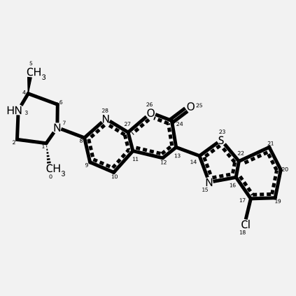 C[C@@H]1CN[C@@H](C)CN1c1ccc2cc(-c3nc4c(Cl)cccc4s3)c(=O)oc2n1